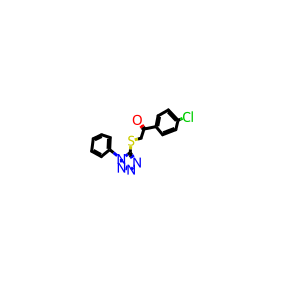 O=C(CSc1nnnn1-c1ccccc1)c1ccc(Cl)cc1